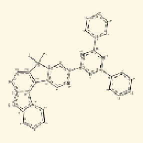 CC1(C)c2cc(-c3nc(-c4ccccc4)nc(-c4ccccc4)n3)ncc2-c2c1ccc1oc3ccccc3c21